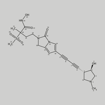 CN1C[C@H](O)[C@@H](C#CC#Cc2cc3n(c2)C(=O)N(CCC(C)(C(=O)NO)S(C)(=O)=O)C3)C1